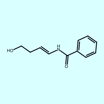 O=C(NC=CCCO)c1ccccc1